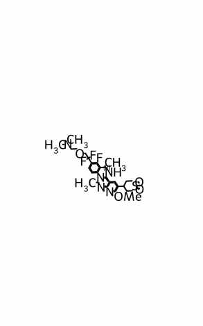 COc1nc2nc(C)nc(N[C@H](C)c3cccc(C(F)(F)COCCN(C)C)c3F)c2cc1C1CCS(=O)(=O)CC1